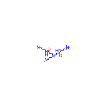 CN(C)CCCNC(=O)C=CN(CCCN(C)C)CCC(=O)NCCCN(C)C